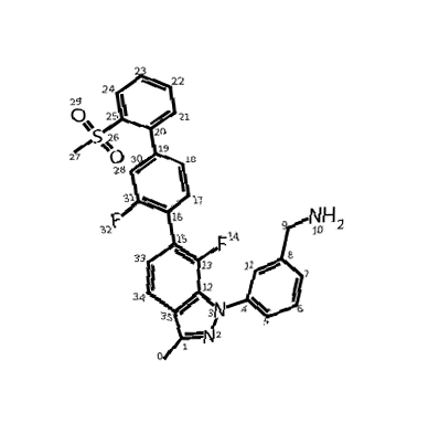 Cc1nn(-c2cccc(CN)c2)c2c(F)c(-c3ccc(-c4ccccc4S(C)(=O)=O)cc3F)ccc12